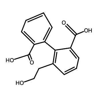 O=C(O)c1ccccc1-c1c(CCO)cccc1C(=O)O